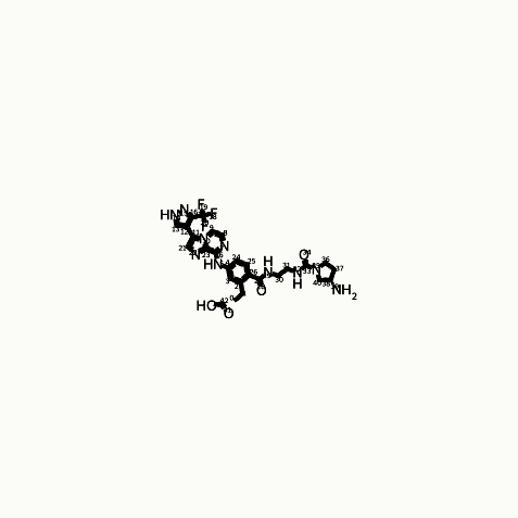 CCc1cc(Nc2nccn3c(-c4c[nH]nc4C(F)(F)F)cnc23)ccc1C(=O)NCCNC(=O)N1CC[C@@H](N)C1.O=CO